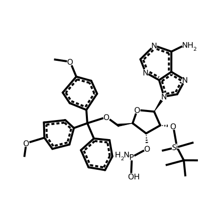 COc1ccc(C(OC[C@H]2O[C@@H](n3cnc4c(N)ncnc43)[C@H](O[Si](C)(C)C(C)(C)C)[C@@H]2OP(N)O)(c2ccccc2)c2ccc(OC)cc2)cc1